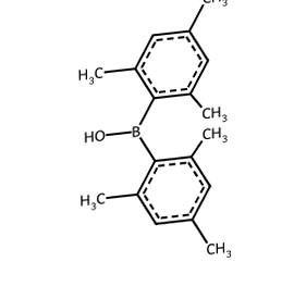 Cc1cc(C)c(B(O)c2c(C)cc(C)cc2C)c(C)c1